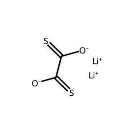 [Li+].[Li+].[O-]C(=S)C([O-])=S